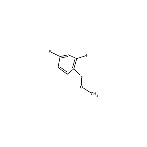 COSc1ccc(F)cc1F